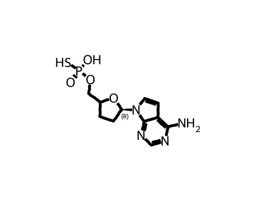 Nc1ncnc2c1ccn2[C@H]1CCC(COP(=O)(O)S)O1